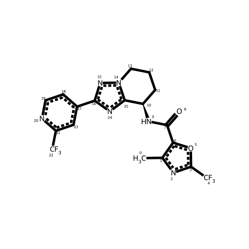 Cc1nc(C(F)(F)F)oc1C(=O)N[C@@H]1CCCn2nc(-c3ccnc(C(F)(F)F)c3)nc21